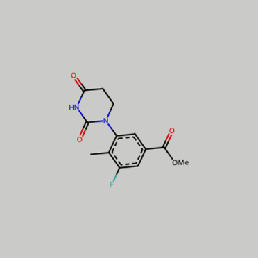 COC(=O)c1cc(F)c(C)c(N2CCC(=O)NC2=O)c1